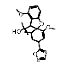 COC1=CC(c2ncno2)CC(C)C12Oc1cccc(OC)c1C2C(C)(C)O